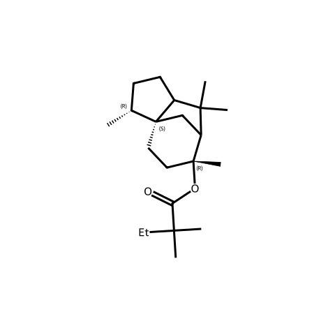 CCC(C)(C)C(=O)O[C@]1(C)CC[C@@]23CC1C(C)(C)C2CC[C@H]3C